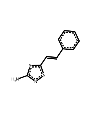 Nc1nnc(C=Cc2ccccc2)s1